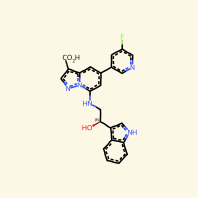 O=C(O)c1cnn2c(NC[C@H](O)c3c[nH]c4ccccc34)cc(-c3cncc(F)c3)cc12